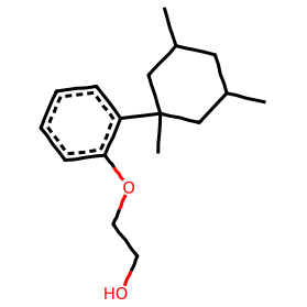 CC1CC(C)CC(C)(c2ccccc2OCCO)C1